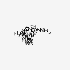 Cc1c(-c2cccc(S(=O)(=O)N(C)C)c2)c2nc(C(=O)N(C)C)ccc2n1CC(F)=CCN.Cl.Cl